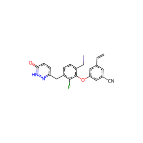 C=Cc1cc(C#N)cc(Oc2c(CI)ccc(Cc3ccc(=O)[nH]n3)c2F)c1